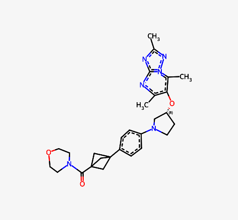 Cc1nc2nc(C)c(O[C@@H]3CCN(c4ccc(C56CC(C(=O)N7CCOCC7)(C5)C6)cc4)C3)c(C)n2n1